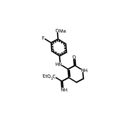 CCOC(=O)C(=N)C1=C(Nc2ccc(OC)c(F)c2)C(=O)NCC1